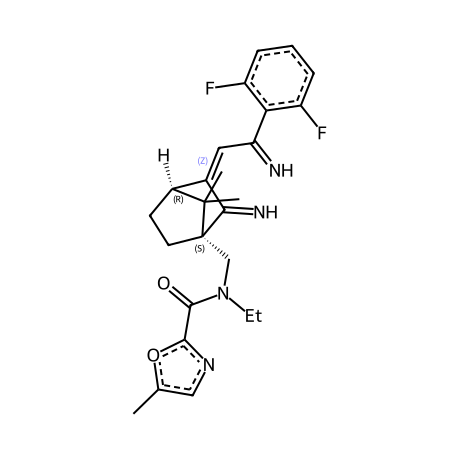 CCN(C[C@@]12CC[C@@H](/C(=C/C(=N)c3c(F)cccc3F)C1=N)C2(C)C)C(=O)c1ncc(C)o1